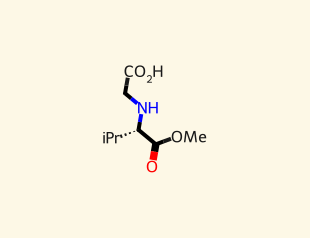 COC(=O)[C@@H](NCC(=O)O)C(C)C